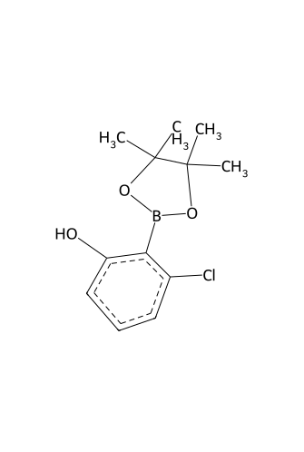 CC1(C)OB(c2c(O)cccc2Cl)OC1(C)C